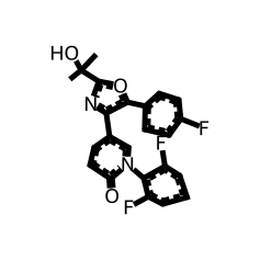 CC(C)(O)c1nc(-c2ccc(=O)n(-c3c(F)cccc3F)c2)c(-c2ccc(F)cc2)o1